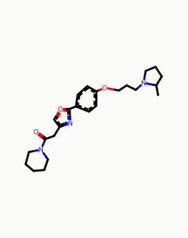 CC1CCCN1CCCOc1ccc(-c2nc(CC(=O)N3CCCCC3)co2)cc1